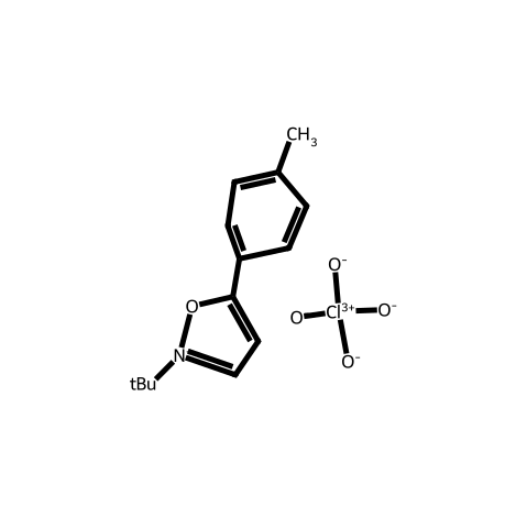 Cc1ccc(-c2cc[n+](C(C)(C)C)o2)cc1.[O-][Cl+3]([O-])([O-])[O-]